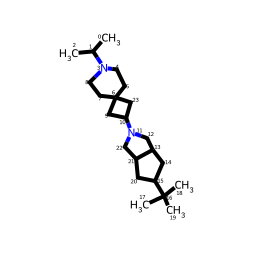 CC(C)N1CCC2(CC1)CC(N1CC3CC(C(C)(C)C)CC3C1)C2